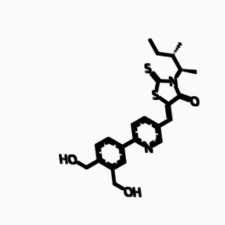 CC[C@H](C)[C@@H](C)N1C(=O)/C(=C/c2ccc(-c3ccc(CO)c(CO)c3)nc2)SC1=S